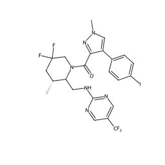 C[C@@H]1CC(F)(F)CN(C(=O)c2nn(C)cc2-c2ccc(I)cc2)C1CNc1ncc(C(F)(F)F)cn1